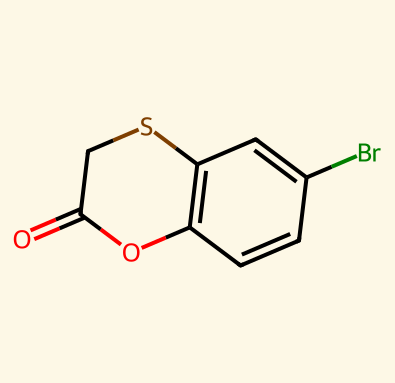 O=C1CSc2cc(Br)ccc2O1